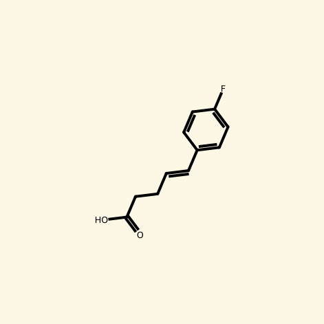 O=C(O)CC/C=C/c1ccc(F)cc1